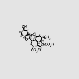 CCOC(=O)CCC(c1nc2cc(C#N)ccc2o1)c1c(OC)cc(C)c2c1ccn2C(=O)O